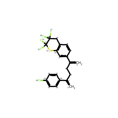 C=C(CCC(=C)c1ccc2c(c1)SC(F)(F)C(F)(F)C2)c1ccc(F)cc1